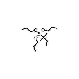 CCCO[Si](OCCC)(OCCC)C(C)(C)CC